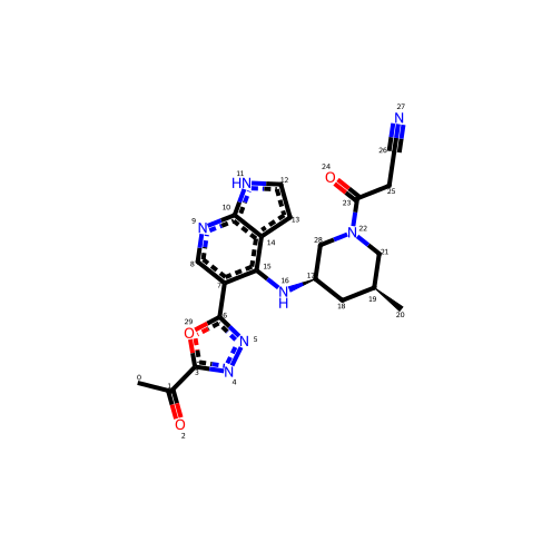 CC(=O)c1nnc(-c2cnc3[nH]ccc3c2N[C@@H]2C[C@H](C)CN(C(=O)CC#N)C2)o1